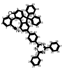 N#Cc1cccc2oc3ccc4c(c3c12)-c1ccc(-c2ccc(-c3nc(-c5ccccc5)nc(-c5ccccc5)n3)cc2)cc1C4(c1ccccc1)c1ccccc1